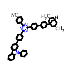 C[C@@H]1C[C@@H]2C[C@H](C)CC(c3ccc(-c4ccc(-c5nc(-c6ccc(C#N)cc6)nc(-c6ccc(-c7ccc8c9ccccc9n(-c9ccccc9)c8c7)cc6)n5)cc4)cc3)(C1)C2